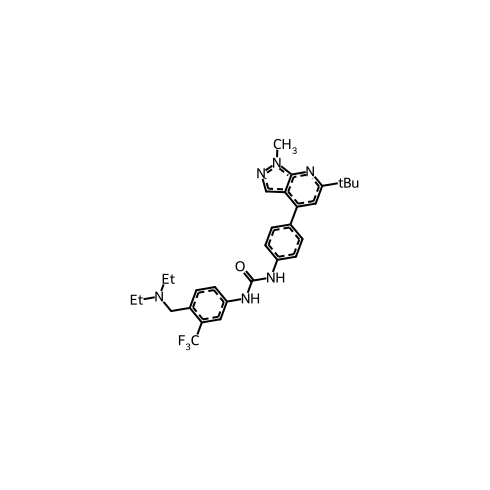 CCN(CC)Cc1ccc(NC(=O)Nc2ccc(-c3cc(C(C)(C)C)nc4c3cnn4C)cc2)cc1C(F)(F)F